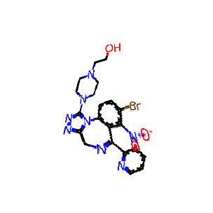 O=[N+]([O-])c1c(Br)ccc2c1C(c1ccccn1)=NCc1nnc(N3CCN(CCO)CC3)n1-2